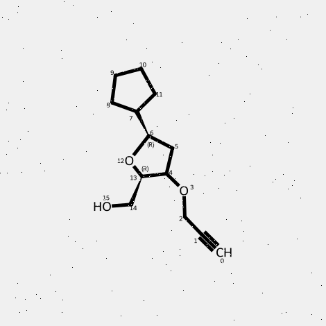 C#CCOC1C[C@H](C2CCCC2)O[C@@H]1CO